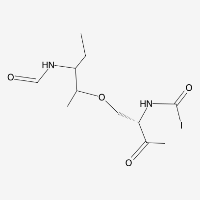 CCC(NC=O)C(C)OC[C@H](NC(=O)I)C(C)=O